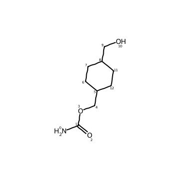 NC(=O)OCC1CCC(CO)CC1